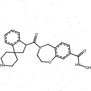 O=C(NO)c1ccc2c(c1)OCCN(C(=O)C1CC3(CCNCC3)c3ccccc31)C2